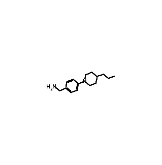 CCCC1CCN(c2ccc(CN)cc2)CC1